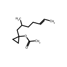 C/C=C/CCC(C)CC1(OC(C)=O)CC1